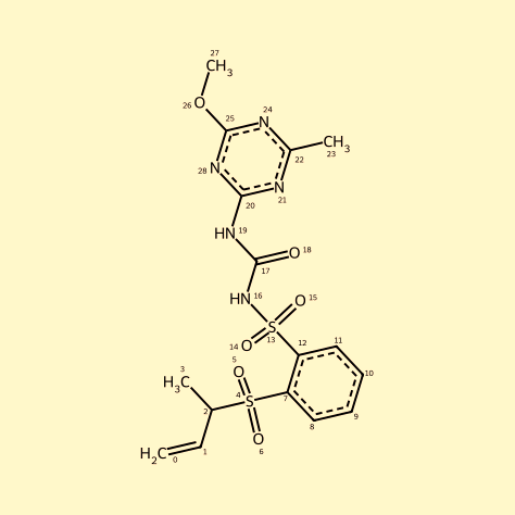 C=CC(C)S(=O)(=O)c1ccccc1S(=O)(=O)NC(=O)Nc1nc(C)nc(OC)n1